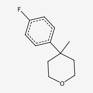 CC1(c2ccc(F)cc2)CCOCC1